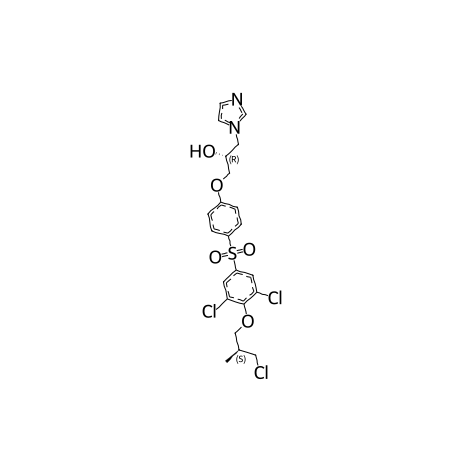 C[C@H](CCl)COc1c(Cl)cc(S(=O)(=O)c2ccc(OC[C@H](O)Cn3ccnc3)cc2)cc1Cl